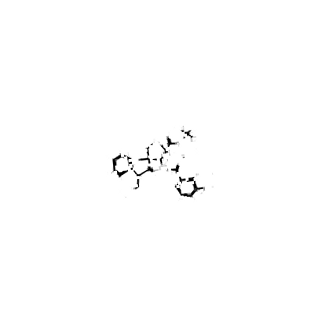 CCC(C(=O)C1(Cl)CN[C@](O)(C(=O)NC(C)(C)C)C1NC(=O)c1cccc(O)c1C)c1ccccc1